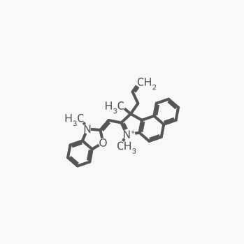 C=CCC1(C)C(/C=C2\Oc3ccccc3N2C)=[N+](C)c2ccc3ccccc3c21